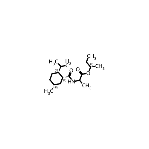 CC[C@@H](C)OC(=O)C(C)NC(=O)[C@@H]1C[C@H](C)CC[C@H]1C(C)C